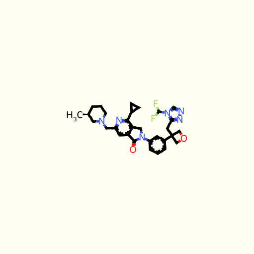 C[C@H]1CCCN(Cc2cc3c(c(C4CC4)n2)CN(c2cccc(C4(Cc5nncn5C(F)F)COC4)c2)C3=O)C1